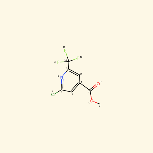 COC(=O)c1cc(Cl)nc(C(F)(F)F)c1